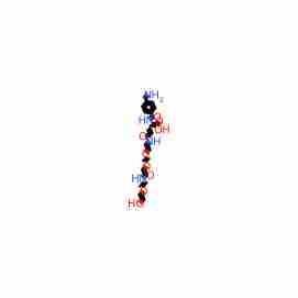 NC[C@H]1CC[C@H](C(=O)N[C@@H](CCC(=O)NCCOCCOCC(=O)NCCOCCO)C(=O)O)CC1